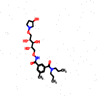 CCCN(CCC)C(=O)c1cc(C)cc(C(=O)NOC[C@H](O)[C@H](O)[C@H](O)CON2CC[C@@H](O)C2)c1